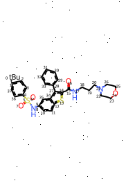 CC(C)(C)c1ccc(S(=O)(=O)Nc2ccc3sc(C(=O)NCCCN4CCOCC4)c(-c4ccccc4)c3c2)cc1